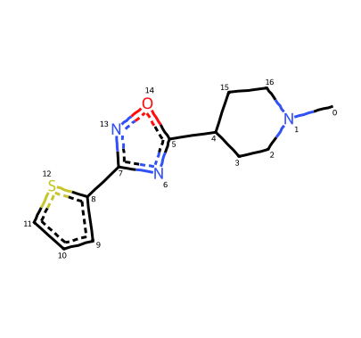 CN1CCC(c2nc(-c3cccs3)no2)CC1